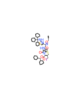 C#CCO/N=C(/C(=O)N[C@@H]1C(=O)N2C(C(=O)OC(c3ccccc3)c3ccccc3)=C(CI)CS[C@H]12)c1csc(NC(c2ccccc2)(c2ccccc2)c2ccccc2)n1